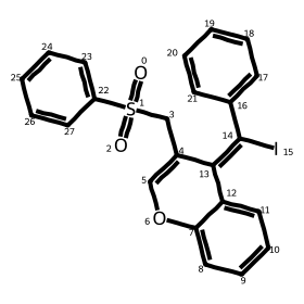 O=S(=O)(CC1=COc2ccccc2/C1=C(\I)c1ccccc1)c1ccccc1